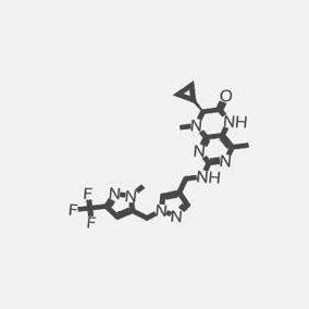 Cc1nc(NCc2cnn(Cc3cc(C(F)(F)F)nn3C)c2)nc2c1NC(=O)[C@H](C1CC1)N2C